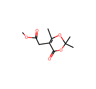 COC(=O)CC1=C(C)OC(C)(C)OC1=O